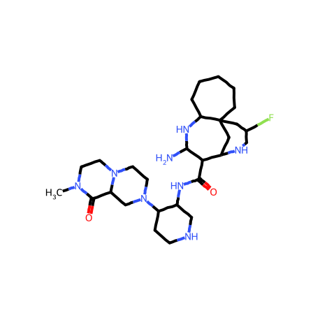 CN1CCN2CCN(C3CCNCC3NC(=O)C3C(N)NC4CCCCCC45CC(F)CNC3C5)CC2C1=O